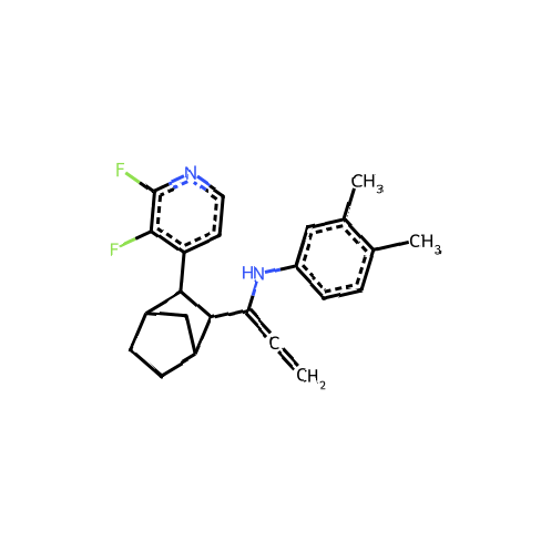 C=C=C(Nc1ccc(C)c(C)c1)C1C2CCC(C2)C1c1ccnc(F)c1F